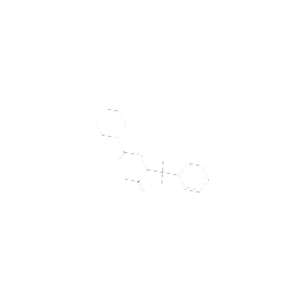 CC(C)(c1ccccc1)C(NC(=O)N1CCOCC1)C(=O)O